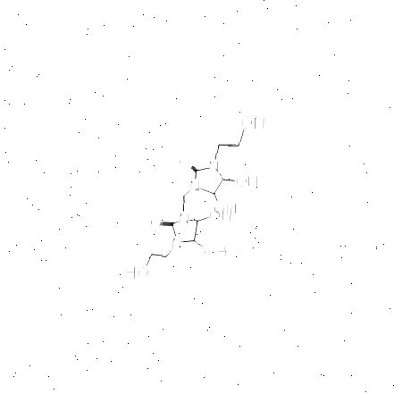 O=C1N(CCO)C(O)C(O)N1CN1C(=O)N(CCO)C(O)C1O